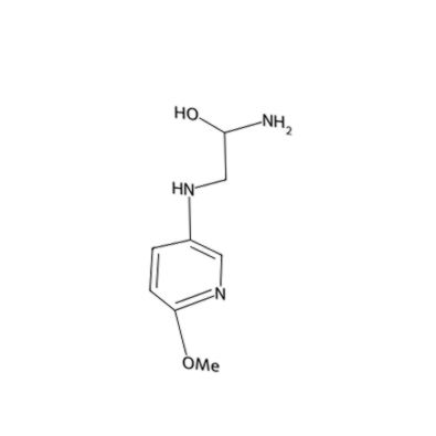 COc1ccc(NCC(N)O)cn1